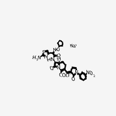 Nc1nc(/C(=N/OC2CCCC2)C(=O)N[C@@H]2C(=O)N3C(C(=O)[O-])=C(/C=C4\CCN(c5cccc([N+](=O)[O-])c5)C4=O)CC[C@H]23)cs1.[Na+]